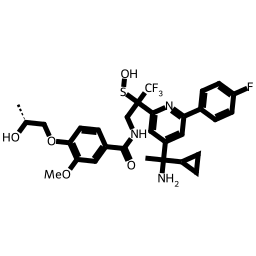 COc1cc(C(=O)NCC(SO)(c2cc(C(C)(N)C3CC3)cc(-c3ccc(F)cc3)n2)C(F)(F)F)ccc1OC[C@@H](C)O